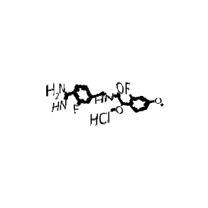 COc1ccc([C@H](OC)C(=O)NCc2ccc(C(=N)N)c(F)c2)c(F)c1.Cl